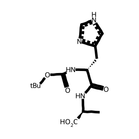 C[C@H](NC(=O)[C@@H](Cc1c[nH]cn1)NC(=O)OC(C)(C)C)C(=O)O